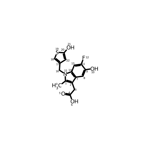 Cc1c(CC(=O)O)c2cc(O)c(F)cc2n1Cc1csc(O)c1